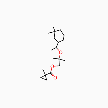 CC(OC(C)(C)COC(=O)C1(C)CC1)C1CCCC(C)(C)C1